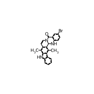 Cc1c2c(c(C)c3c1[nH]c1ccccc13)C1Nc3ccc(Br)cc3C(=O)N1C=C2